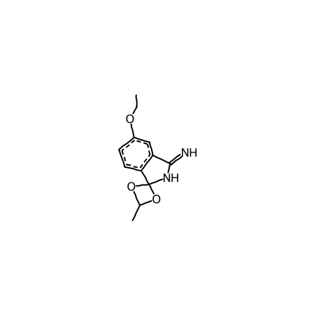 CCOc1ccc2c(c1)C(=N)NC21OC(C)O1